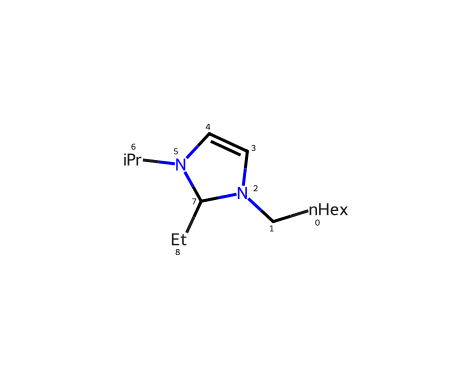 CCCCCCCN1C=CN(C(C)C)C1CC